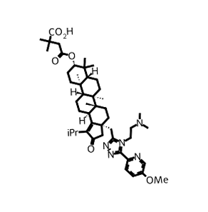 COc1ccc(-c2nnc(C[C@@]34CC[C@]5(C)[C@H](CC[C@@H]6[C@@]7(C)CC[C@H](OC(=O)CC(C)(C)C(=O)O)C(C)(C)[C@@H]7CC[C@]65C)C3=C(C(C)C)C(=O)C4)n2CCN(C)C)nc1